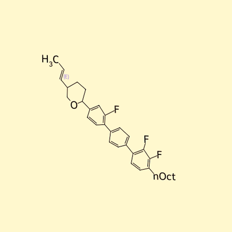 C/C=C/C1CCC(c2ccc(-c3ccc(-c4ccc(CCCCCCCC)c(F)c4F)cc3)c(F)c2)OC1